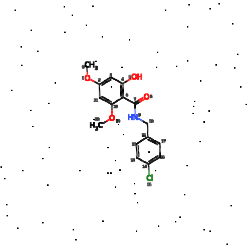 COc1cc(O)c(C(=O)NCc2ccc(Cl)cc2)c(OC)c1